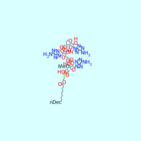 CCCCCCCCCCCCCCCCCC(=O)OCCSP(=O)(O)OC[C@H]1O[C@@H](n2cnc3c(N)ncnc32)[C@@H](OP(=O)(O)OC[C@H]2O[C@@H](n3cnc4c(N)ncnc43)[C@@H](OP(=O)(O)OC[C@]34CCCOC3[C@H](O)[C@H](n3cnc5c(N)ncnc53)O4)C2O)C1OC